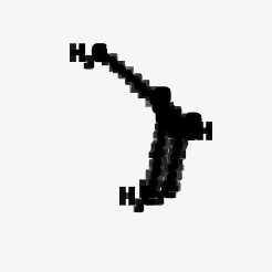 CCCCCCCCCCCCCCCC(=O)OC[C@H](CSC[C@H](NCCCCCCCCCCCC)C(=O)O)OC(=O)CCCCCCCCCCCCCCC